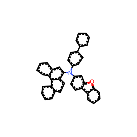 c1ccc(-c2ccc(N(c3ccc4c(c3)oc3ccccc34)c3cc4ccccc4c4c3ccc3ccccc34)cc2)cc1